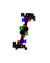 CC(C)(C)OC(=O)NCCCOc1cccc(-c2cccc(OCCCNC(=O)OC(C)(C)C)c2Cl)c1Cl